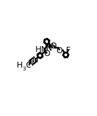 CN1CCN(c2ccc(C(=O)Nc3nn(OCCOCc4ccccc4F)c4ccccc34)cc2)CC1